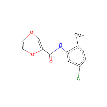 COc1ccc(Cl)cc1NC(=O)C1=COC=CO1